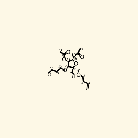 CCCCOC[C@@]1(CF)O[C@H](OC(C)=O)[C@H](OC(C)=O)[C@@H]1OCCCC